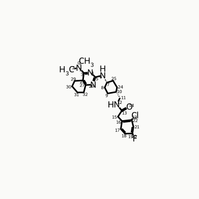 CN(C)c1nc(N[C@H]2CC[C@@H](CNC(=O)Cc3ccc(F)cc3Cl)CC2)nc2c1CCCC2